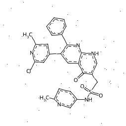 Cc1ccc(NS(=O)(=O)Cc2c[nH]c3nc(-c4ccccc4)c(-c4cc(C)nc(Cl)c4)cc3c2=O)cn1